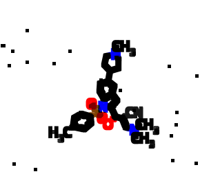 Cc1ccc(S(=O)(=O)n2c(C(=O)C(C#N)=CN(C)C)cc3cc(C4CCN(C)CC4)ccc32)cc1